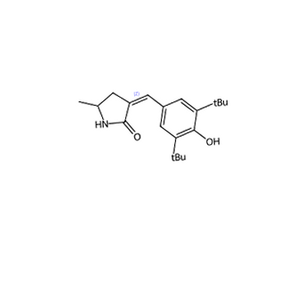 CC1C/C(=C/c2cc(C(C)(C)C)c(O)c(C(C)(C)C)c2)C(=O)N1